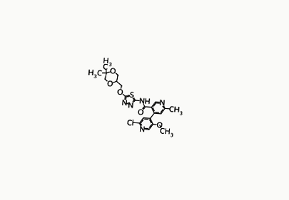 COc1cnc(Cl)cc1-c1cc(C)ncc1C(=O)Nc1nnc(OCC2COC(C)(C)CO2)s1